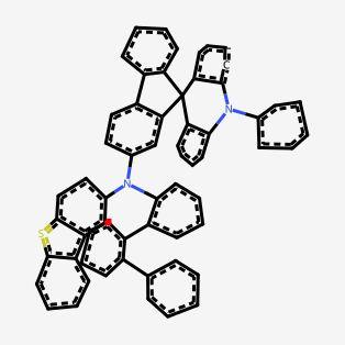 c1ccc(-c2ccccc2-c2ccccc2N(c2ccc3c(c2)C2(c4ccccc4-3)c3ccccc3N(c3ccccc3)c3ccccc32)c2ccc3sc4ccccc4c3c2)cc1